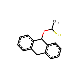 CC(S)OC1c2ccccc2Cc2ccccc21